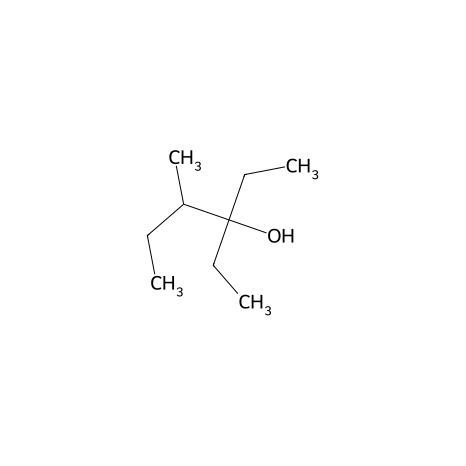 CCC(C)C(O)(CC)CC